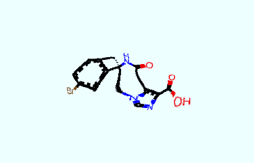 O=C(O)c1ncn2c1C(=O)N[C@@]1(Cc3ccc(Br)cc31)C2